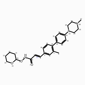 Cc1cc(/C=C/C(=O)NOC2CCCCO2)ccc1-c1ccc(N2CCN(C)CC2)cc1